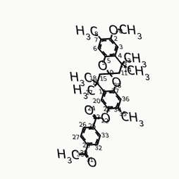 COc1cc2c(cc1C)OC1(CC2(C)C)CC(C)(C)c2cc(OC(=O)c3ccc(C(C)=O)cc3)c(C)cc2O1